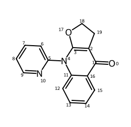 O=c1c2c(n(-c3ccccn3)c3ccccc13)OCC2